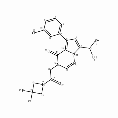 CC(C)C(O)c1cc(-c2cccc(Cl)c2)c2c(=O)n(CC(=O)N3CC(C)(F)C3)cnn12